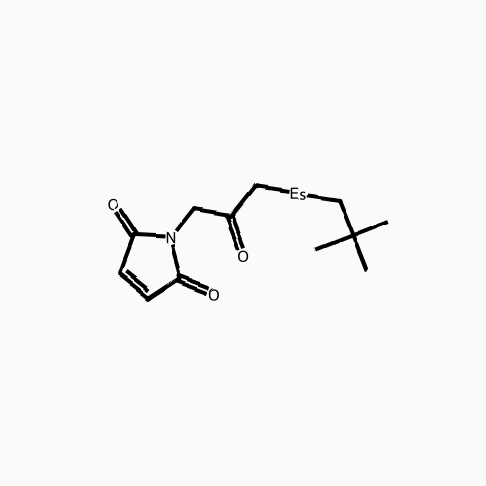 CC(C)(C)[CH2][Es][CH2]C(=O)CN1C(=O)C=CC1=O